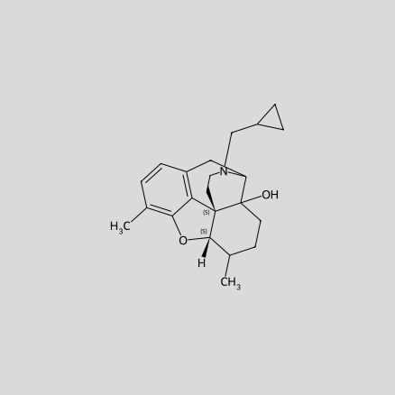 Cc1ccc2c3c1O[C@H]1C(C)CCC4(O)C(C2)N(CC2CC2)CC[C@]314